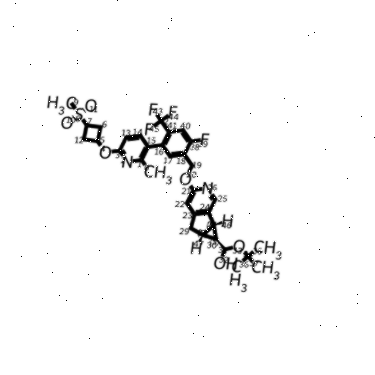 Cc1nc(OC2CC(S(C)(=O)=O)C2)ccc1-c1cc(COc2cc3c(cn2)[C@H]2[C@@H](C3)[C@@H]2C(O)OC(C)(C)C)c(F)cc1C(F)(F)F